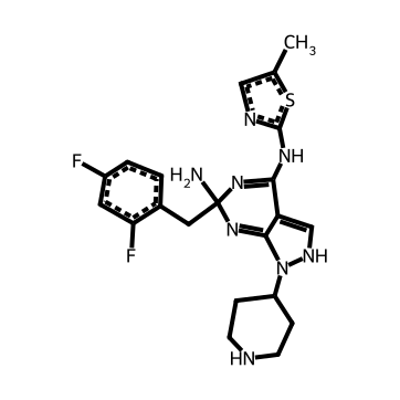 Cc1cnc(NC2=NC(N)(Cc3ccc(F)cc3F)N=C3C2=CNN3C2CCNCC2)s1